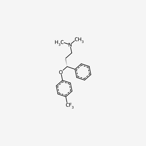 CN(C)CC[C@@H](Oc1ccc(C(F)(F)F)cc1)c1ccccc1